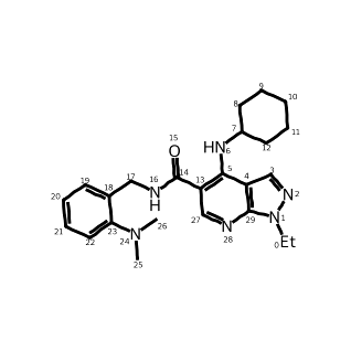 CCn1ncc2c(NC3CCCCC3)c(C(=O)NCc3ccccc3N(C)C)cnc21